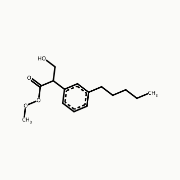 CCCCCc1cccc(C(CO)C(=O)OOC)c1